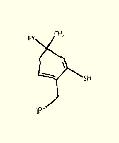 CC(C)CC1=CCC(C)(C(C)C)N=C1S